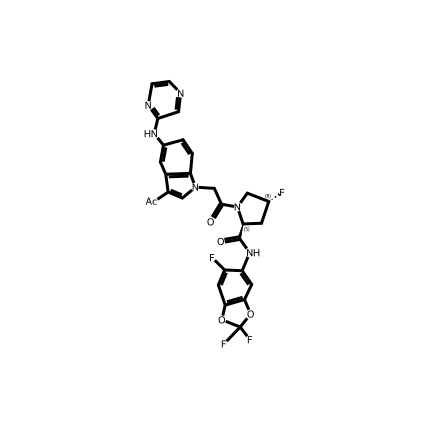 CC(=O)c1cn(CC(=O)N2C[C@H](F)C[C@H]2C(=O)Nc2cc3c(cc2F)OC(F)(F)O3)c2ccc(Nc3cnccn3)cc12